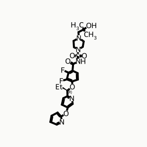 CC[C@@H](Oc1ccc(C(=O)NS(=O)(=O)N2CCN(CC(C)(C)O)CC2)c(F)c1F)c1ccc(Oc2ccccn2)cn1